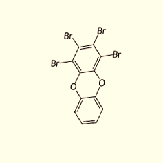 Brc1c(Br)c(Br)c2c(c1Br)Oc1ccccc1O2